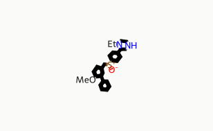 CCN1CCNCC1c1ccc([S+]([O-])Cc2ccc(OC)c(-c3ccccc3)c2)cc1